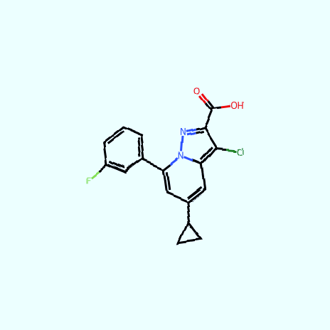 O=C(O)c1nn2c(-c3cccc(F)c3)cc(C3CC3)cc2c1Cl